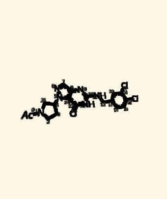 CC(=O)N1CCC(n2ncc3nc(NCc4ccc(Cl)c(Cl)c4)[nH]c(=O)c32)C1